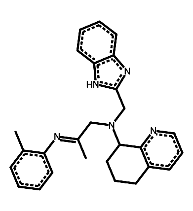 C/C(CN(Cc1nc2ccccc2[nH]1)C1CCCc2cccnc21)=N\c1ccccc1C